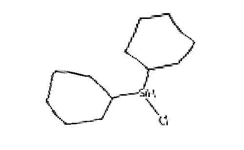 Cl[SiH](C1CCCCC1)C1CCCCC1